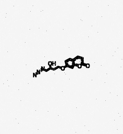 [N-]=[N+]=NCC(O)CCOc1ccc2ccc(=O)oc2c1